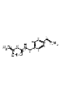 C=Cc1ccc(CNC(=O)CC(=C)O)cc1